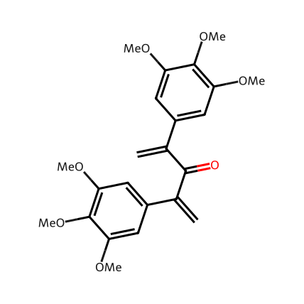 C=C(C(=O)C(=C)c1cc(OC)c(OC)c(OC)c1)c1cc(OC)c(OC)c(OC)c1